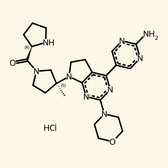 C[C@]1(N2CCc3c(-c4cnc(N)nc4)nc(N4CCOCC4)nc32)CCN(C(=O)[C@H]2CCCN2)C1.Cl